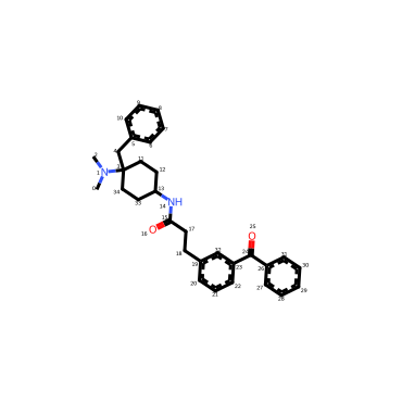 CN(C)C1(Cc2ccccc2)CCC(NC(=O)CCc2cccc(C(=O)c3ccccc3)c2)CC1